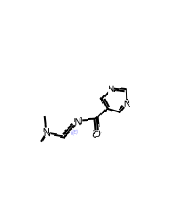 CN(C)/C=N/C(=O)c1cncnc1